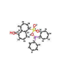 O=S(=O)(O[I+](c1ccccc1)c1ccccc1)c1cccc2c(O)cccc12